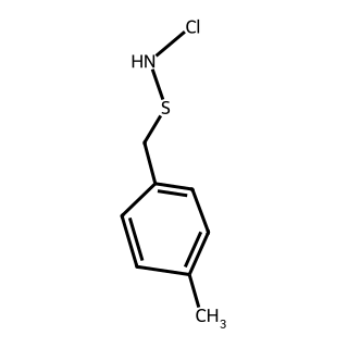 Cc1ccc(CSNCl)cc1